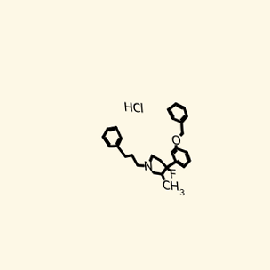 CC1CN(CCCc2ccccc2)CCC1(F)c1cccc(OCc2ccccc2)c1.Cl